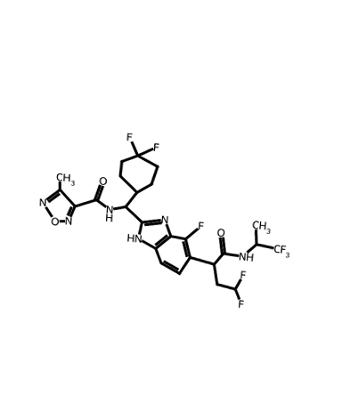 Cc1nonc1C(=O)NC(c1nc2c(F)c(C(CC(F)F)C(=O)NC(C)C(F)(F)F)ccc2[nH]1)C1CCC(F)(F)CC1